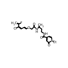 C=C(CCNC(=O)c1ccn(CC)c(=O)c1)NC(=O)CO/C=C/C=C(/Cl)C(=C)F